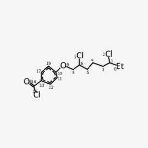 CCC(Cl)CCCC(Cl)COc1ccc(C(=O)Cl)cc1